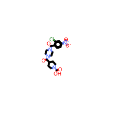 O=C(O)N1CCC(C(=O)N2CCN(C(=O)c3ccc([N+](=O)[O-])cc3Cl)CC2)CC1